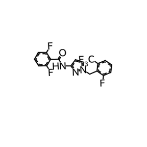 O=C(Nc1ccn(Cc2c(F)cccc2C(F)(F)F)n1)c1c(F)cccc1F